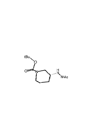 CNN[C@@H]1CCCN(C(=O)OC(C)(C)C)C1